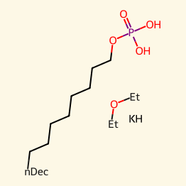 CCCCCCCCCCCCCCCCCCOP(=O)(O)O.CCOCC.[KH]